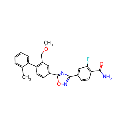 COCc1cc(-c2nc(-c3ccc(C(N)=O)c(F)c3)no2)ccc1-c1ccccc1C